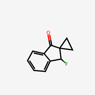 O=C1c2ccccc2C(F)C12CC2